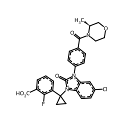 C[C@H]1COCCN1C(=O)c1ccc(-n2c(=O)n(C3(c4cccc(C(=O)O)c4F)CC3)c3ccc(Cl)cc32)cc1